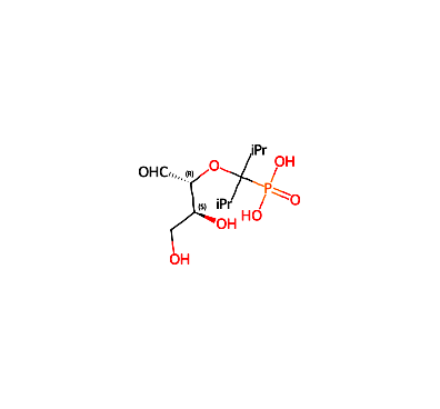 CC(C)C(O[C@@H](C=O)[C@@H](O)CO)(C(C)C)P(=O)(O)O